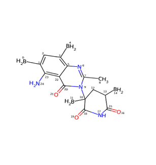 Bc1cc(B)c2nc(C)n(C3(B)CC(B)C(=O)NC3=O)c(=O)c2c1N